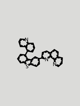 c1cnc2c(c1)ccc1ccc(-c3ccc4sc5cccc(-c6cccc7ncccc67)c5c4c3)nc12